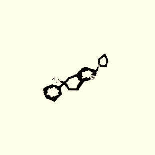 NC1(c2ccccc2)CCc2sc(N3CCCC3)cc2C1